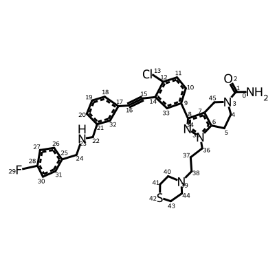 NC(=O)N1CCc2c(c(-c3ccc(Cl)c(C#Cc4cccc(CNCc5ccc(F)cc5)c4)c3)nn2CCCN2CCSCC2)C1